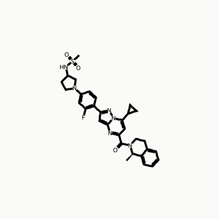 C[C@@H]1c2ccccc2CCN1C(=O)c1cc(C2CC2)n2nc(-c3ccc(N4CCC(NS(C)(=O)=O)C4)cc3F)cc2n1